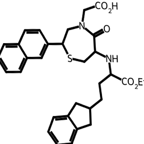 CCOC(=O)C(CCC1Cc2ccccc2C1)NC1CSC(c2ccc3ccccc3c2)CN(CC(=O)O)C1=O